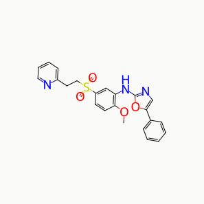 COc1ccc(S(=O)(=O)CCc2ccccn2)cc1Nc1ncc(-c2ccccc2)o1